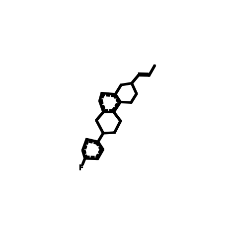 CC=CC1CCc2c(ccc3c2CCC(c2ccc(F)cc2)C3)C1